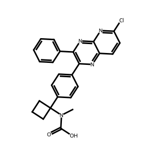 CN(C(=O)O)C1(c2ccc(-c3nc4ccc(Cl)nc4nc3-c3ccccc3)cc2)CCC1